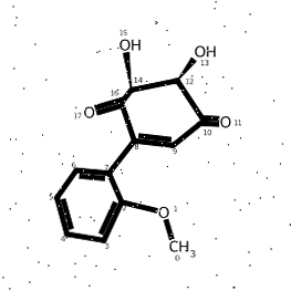 COc1ccccc1C1=CC(=O)[C@H](O)[C@H](O)C1=O